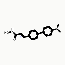 CN(C)c1ccc(-c2ccc(/C=C/C(=O)NO)cc2)cc1